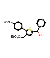 CCOC(=O)Cc1cc(C(O)c2ccccc2)sc1-c1ccc(OC)cc1